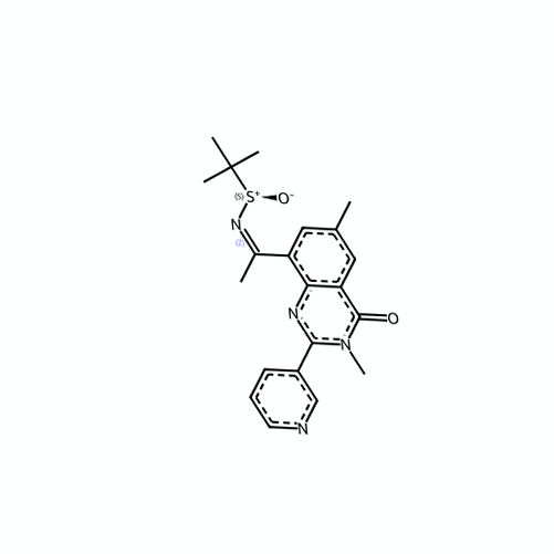 C/C(=N/[S@+]([O-])C(C)(C)C)c1cc(C)cc2c(=O)n(C)c(-c3cccnc3)nc12